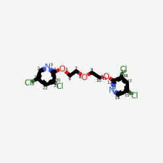 Clc1cnc(OCCOCCOc2ncc(Cl)cc2Cl)c(Cl)c1